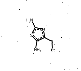 CCSc1nc(N)sc1N